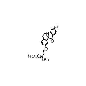 CC(C)(C)N(CCOc1ccc2c(c1)C(C1(c3ccc(Cl)cc3)CC1)=NCC2)C(=O)O